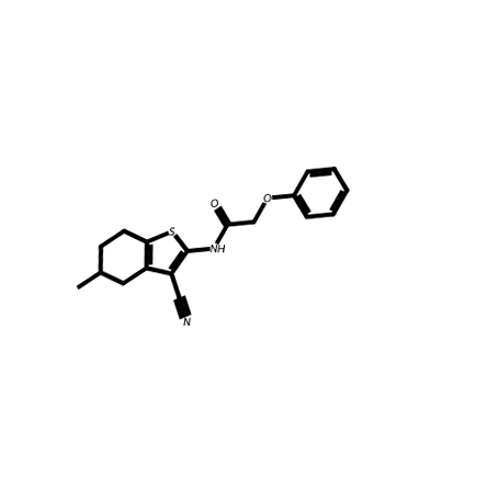 CC1CCc2sc(NC(=O)COc3ccccc3)c(C#N)c2C1